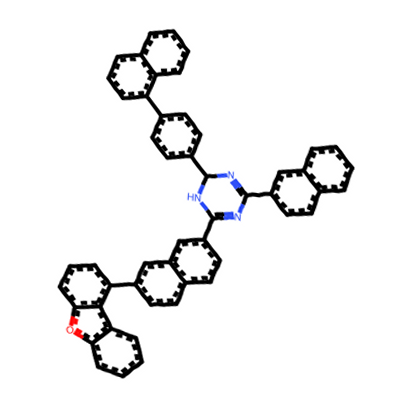 c1ccc2cc(C3=NC(c4ccc(-c5cccc6ccccc56)cc4)NC(c4ccc5ccc(-c6cccc7oc8ccccc8c67)cc5c4)=N3)ccc2c1